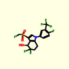 O=S(=O)(CF)c1cn(-c2ccc(F)c(C(F)(F)F)c2)c2c1C(O)C(F)(F)CC2